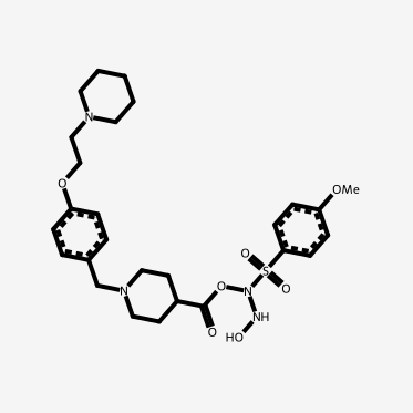 COc1ccc(S(=O)(=O)N(NO)OC(=O)C2CCN(Cc3ccc(OCCN4CCCCC4)cc3)CC2)cc1